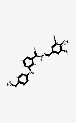 O=C(N/N=C/c1cc(Br)c(O)c(Br)c1)c1cccc(Oc2ccc(CO)cc2)c1